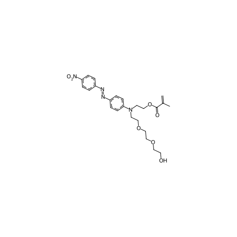 C=C(C)C(=O)OCCN(CCOCCOCCO)c1ccc(/N=N/c2ccc([N+](=O)[O-])cc2)cc1